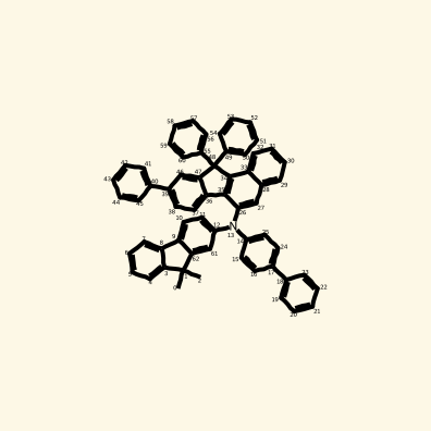 CC1(C)c2ccccc2-c2ccc(N(c3ccc(-c4ccccc4)cc3)c3cc4ccccc4c4c3-c3ccc(-c5ccccc5)cc3C4(c3ccccc3)c3ccccc3)cc21